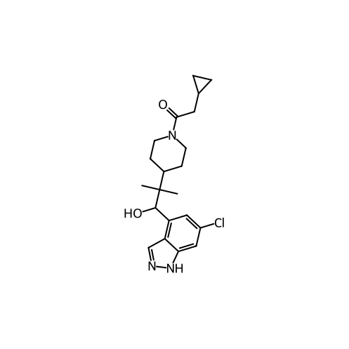 CC(C)(C1CCN(C(=O)CC2CC2)CC1)C(O)c1cc(Cl)cc2[nH]ncc12